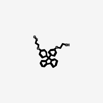 O=NCCOC1=CCC(C2(c3ccc(OCCO)cc3)c3ccccc3-c3ccccc32)C=C1